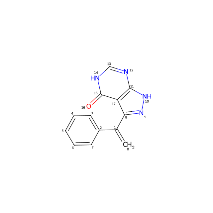 C=C(c1ccccc1)c1n[nH]c2nc[nH]c(=O)c12